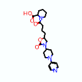 O=C(O)C1CCCCN1C(=O)CCCC1CN(C2CCN(c3ccncc3)CC2)C(=O)O1